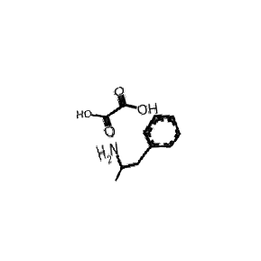 CC(N)Cc1ccccc1.O=C(O)C(=O)O